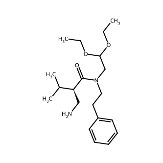 CCOC(CN(CCc1ccccc1)C(=O)[C@@H](CN)C(C)C)OCC